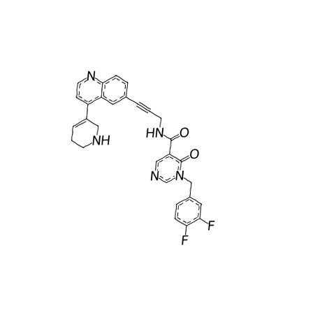 O=C(NCC#Cc1ccc2nccc(C3=CCCNC3)c2c1)c1cncn(Cc2ccc(F)c(F)c2)c1=O